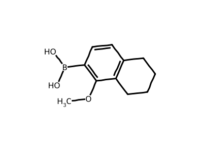 COc1c(B(O)O)ccc2c1CCCC2